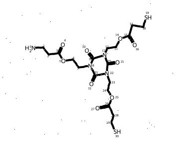 NCCC(=O)OCCn1c(=O)n(CCOC(=O)CCS)c(=O)n(CCOC(=O)CCS)c1=O